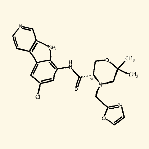 CC1(C)CN(Cc2ncco2)[C@H](C(=O)Nc2cc(Cl)cc3c2[nH]c2cnccc23)CO1